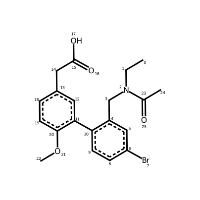 CCN(Cc1cc(Br)ccc1-c1cc(CC(=O)O)ccc1OC)C(C)=O